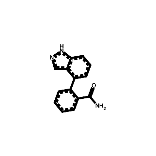 NC(=O)c1ccccc1-c1cccc2[nH]ncc12